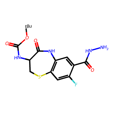 CC(C)(C)OC(=O)NC1CSc2cc(F)c(C(=O)NN)cc2NC1=O